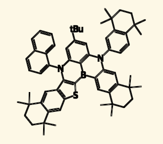 CC(C)(C)c1cc2c3c(c1)N(c1cccc4ccccc14)c1c(sc4cc5c(cc14)C(C)(C)CCC5(C)C)B3c1cc3c(cc1N2c1ccc2c(c1)C(C)(C)CCC2(C)C)C(C)(C)CCC3(C)C